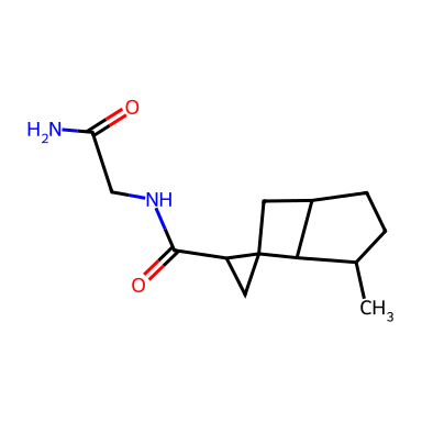 CC1CCC2CC3(CC3C(=O)NCC(N)=O)C12